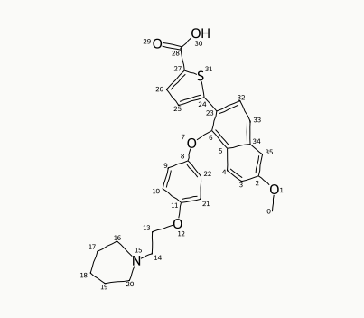 COc1ccc2c(Oc3ccc(OCCN4CCCCC4)cc3)c(-c3ccc(C(=O)O)s3)ccc2c1